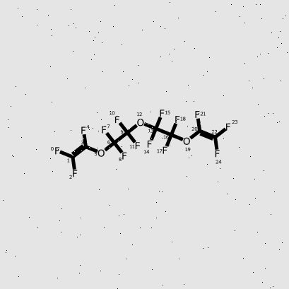 FC(F)=C(F)OC(F)(F)C(F)(F)OC(F)(F)C(F)(F)OC(F)=C(F)F